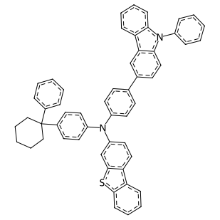 c1ccc(-n2c3ccccc3c3cc(-c4ccc(N(c5ccc(C6(c7ccccc7)CCCCC6)cc5)c5ccc6c(c5)sc5ccccc56)cc4)ccc32)cc1